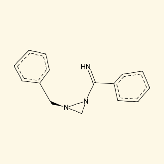 N=C(c1ccccc1)N1C[N@@]1Cc1ccccc1